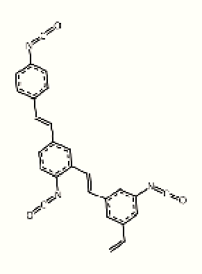 C=Cc1cc(/C=C/c2cc(/C=C/c3ccc(N=C=O)cc3)ccc2N=C=O)cc(N=C=O)c1